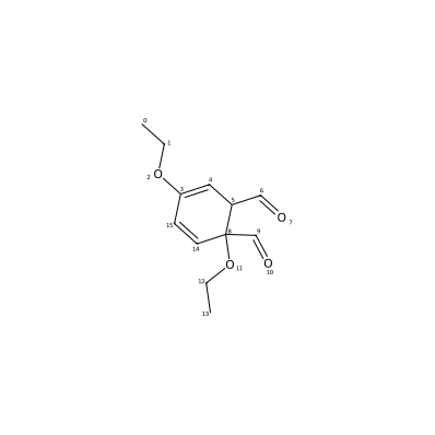 CCOC1=CC(C=O)C(C=O)(OCC)C=C1